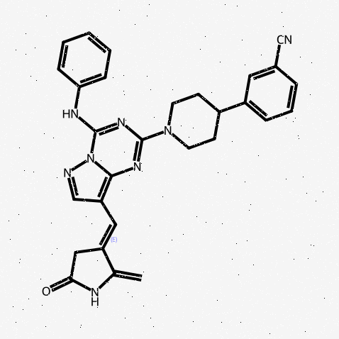 C=C1NC(=O)C/C1=C\c1cnn2c(Nc3ccccc3)nc(N3CCC(c4cccc(C#N)c4)CC3)nc12